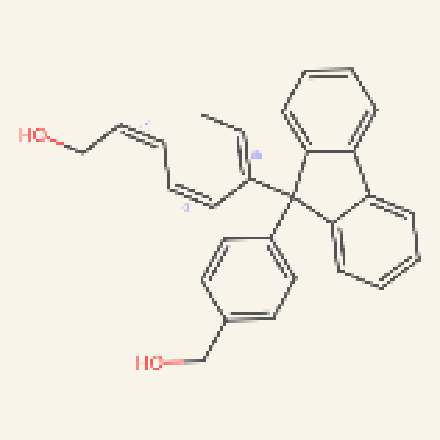 C\C=C(/C=C\C=C/CO)C1(c2ccc(CO)cc2)c2ccccc2-c2ccccc21